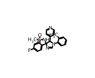 Cc1ccccc1N1C=NC(NS(C)(=O)=O)(c2ccc(F)cc2)C1c1ccncc1